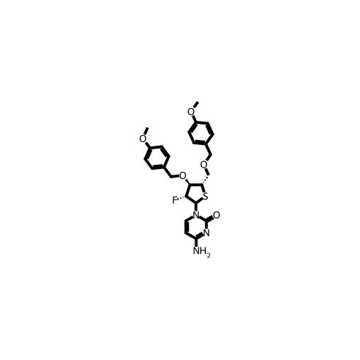 COc1ccc(COC[C@@H]2SC(n3ccc(N)nc3=O)[C@H](F)[C@H]2OCc2ccc(OC)cc2)cc1